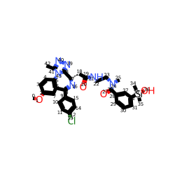 COc1ccc2c(c1)C(c1ccc(Cl)cc1)=N[C@@H](CC(=O)NCCN(C)C(=O)c1cccc([Si](C)(C)O)c1)c1nnc(C)n1-2